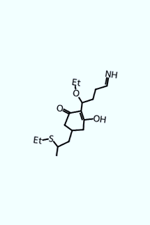 CCOC(CCC=N)C1=C(O)CC(CC(C)SCC)CC1=O